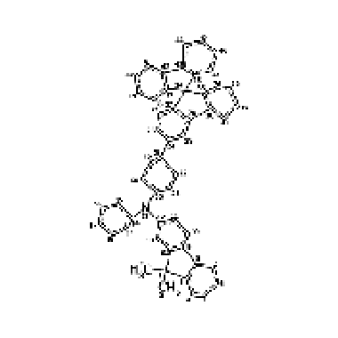 CC1(C)c2ccccc2-c2ccc(N(c3ccccc3)c3ccc(-c4ccc5c(c4)-c4ccccc4C54c5ccccc5-c5ccccc54)cc3)cc21